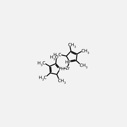 CC1=C(C)C(C)[PH]([Zr][PH]2=C(C)C(C)=C(C)C2C)=C1C